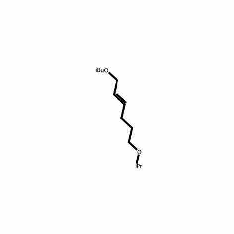 CC(C)COCC=CCCCOC(C)C